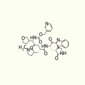 CN1CCC(C[C@H](CC(=O)[C@@H](NC(=O)OCc2cccnc2)C2CCOC2)C(=O)N[C@@H](C[C@@H]2CCNC2=O)C(=O)c2nc3ccccc3s2)C1